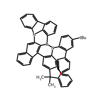 CC(C)(C)c1ccc(N2B3c4c(cc5ccccc5c4-c4cc5c(cc42)-c2ccccc2C5(C)C)-n2c4ccccc4c4cccc3c42)c(-c2ccccc2)c1